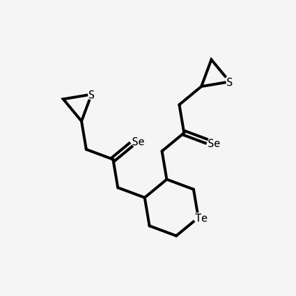 [Se]=C(CC1CS1)CC1CC[Te]CC1CC(=[Se])CC1CS1